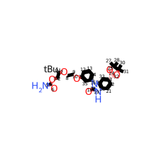 CC(C)(C)C(COC(N)=O)OCCOc1cccc(-n2c(=O)[nH]c3ccc(B4OC(C)(C)C(C)(C)O4)cc32)c1